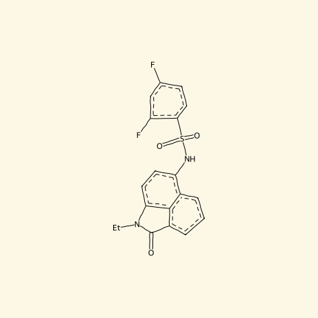 CCN1C(=O)c2cccc3c(NS(=O)(=O)c4ccc(F)cc4F)ccc1c23